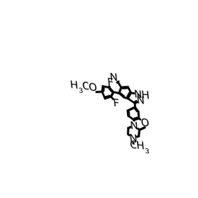 COCc1cc(F)c(-c2cc3c(-c4ccc5c(c4)OCC4CN(C)CCN54)n[nH]c3cc2C#N)c(F)c1